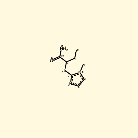 CCC(Sc1nccn1C)C(N)=O